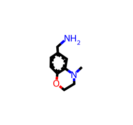 CN1CCOc2ccc(CN)cc21